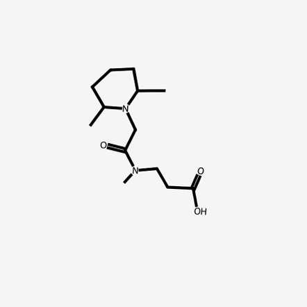 CC1CCCC(C)N1CC(=O)N(C)CCC(=O)O